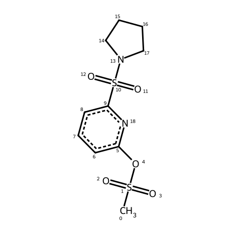 CS(=O)(=O)Oc1cccc(S(=O)(=O)N2CCCC2)n1